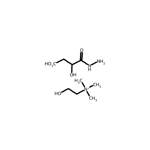 C[N+](C)(C)CCO.NNC(=O)C(O)CC(=O)O